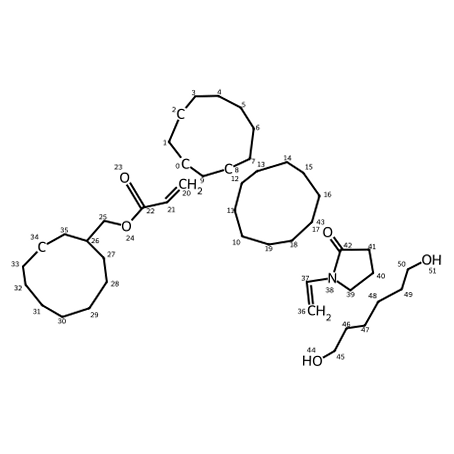 C1CCCCCCCCC1.C1CCCCCCCCC1.C=CC(=O)OCC1CCCCCCCCC1.C=CN1CCCC1=O.OCCCCCCO